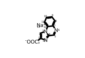 O=C([O-])c1cn2c(cnc3ccccc32)n1.[Na+]